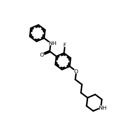 O=C(Nc1ccccc1)c1ccc(OCCCC2CCNCC2)cc1F